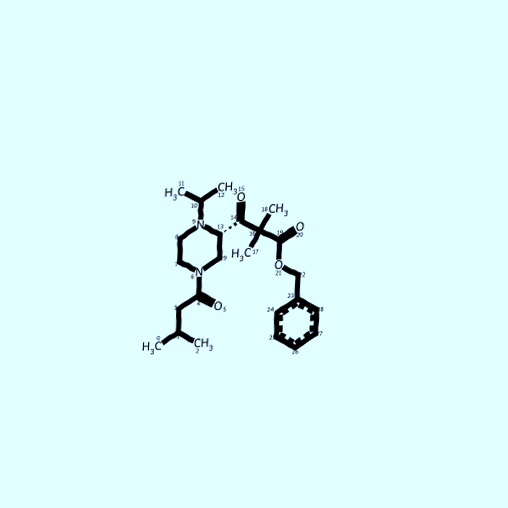 CC(C)CC(=O)N1CCN(C(C)C)[C@H](C(=O)C(C)(C)C(=O)OCc2ccccc2)C1